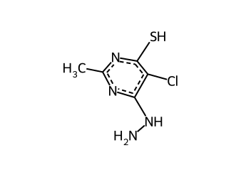 Cc1nc(S)c(Cl)c(NN)n1